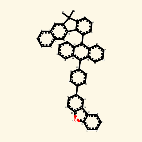 CC1(C)c2cc3ccccc3cc2-c2c(-c3c4ccccc4c(-c4ccc(-c5ccc6oc7ccccc7c6c5)cc4)c4ccccc34)cccc21